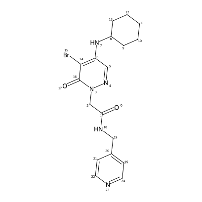 O=C(Cn1ncc(NC2CCCCC2)c(Br)c1=O)NCc1ccncc1